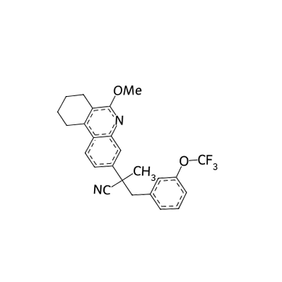 COc1nc2cc(C(C)(C#N)Cc3cccc(OC(F)(F)F)c3)ccc2c2c1CCCC2